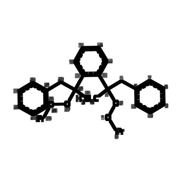 CC(C)OOC(C)(Cc1ccccc1)c1ccccc1C(C)(Cc1ccccc1)OOC(C)C